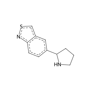 c1cc2nscc2cc1C1CCCN1